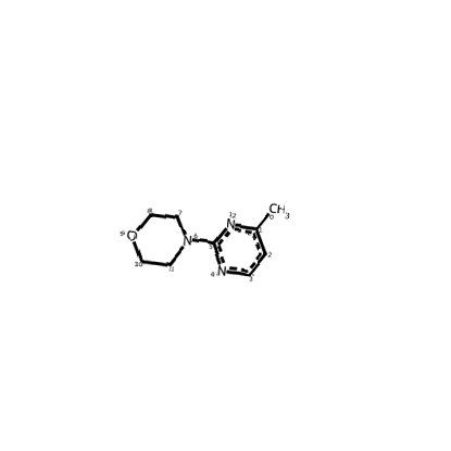 Cc1c[c]nc(N2CCOCC2)n1